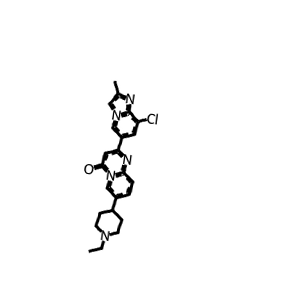 CCN1CCC(c2ccc3nc(-c4cc(Cl)c5nc(C)cn5c4)cc(=O)n3c2)CC1